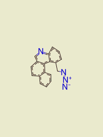 [N-]=[N+]=NCc1cccc2ncc3ccc4ccccc4c3c12